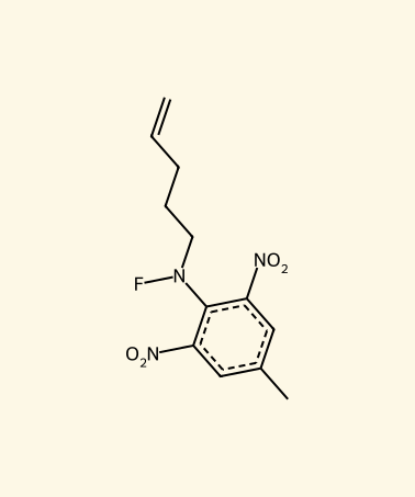 C=CCCCN(F)c1c([N+](=O)[O-])cc(C)cc1[N+](=O)[O-]